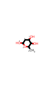 CC1OC(O)CC(O)C1O